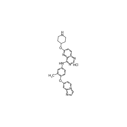 Cc1cc(Nc2ncnc3ccc(OC4CCNCC4)nc23)ccc1Oc1ccn2ccnc2c1.Cl